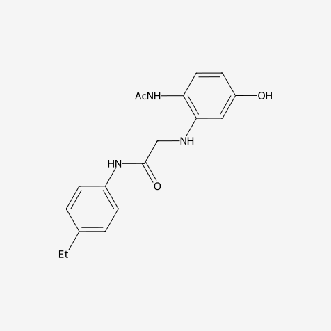 CCc1ccc(NC(=O)CNc2cc(O)ccc2NC(C)=O)cc1